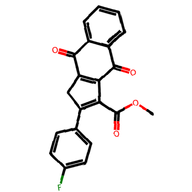 COC(=O)C1=C(c2ccc(F)cc2)CC2=C1C(=O)c1ccccc1C2=O